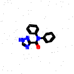 O=C(c1nc[nH]n1)N(c1ccccc1)c1ccccc1